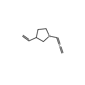 C=C=CN1CCC(C=C)C1